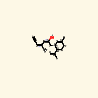 C#C/C=C(\C=C(\O)C[C@@H]1C=C(C)CC[C@H]1C(=C)C)CCC